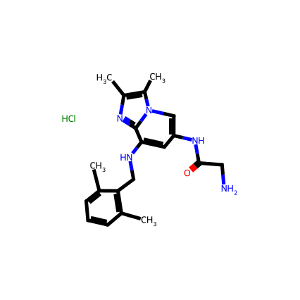 Cc1cccc(C)c1CNc1cc(NC(=O)CN)cn2c(C)c(C)nc12.Cl